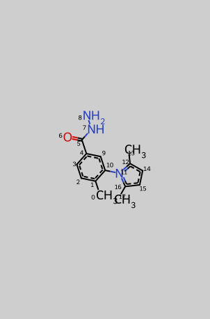 Cc1ccc(C(=O)NN)cc1-n1c(C)ccc1C